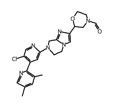 Cc1cnc(-c2cc(N3CCn4cc(C5CN(C=O)CCO5)nc4C3)ncc2Cl)c(C)c1